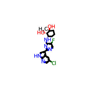 C[C@]1(O)CCC[C@H](Nc2nc(-c3c[nH]c4ncc(Cl)cc34)ncc2F)[C@@H]1O